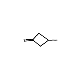 CC1CC(=S)C1